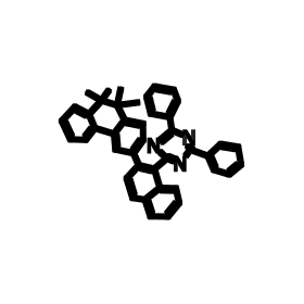 CC1(C)c2ccccc2-c2cc(-c3ccc4ccccc4c3-c3nc(-c4ccccc4)nc(-c4ccccc4)n3)ccc2C1(C)C